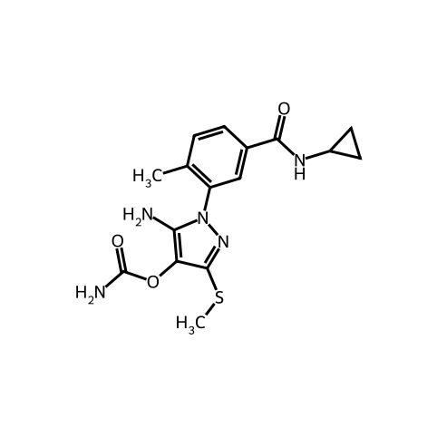 CSc1nn(-c2cc(C(=O)NC3CC3)ccc2C)c(N)c1OC(N)=O